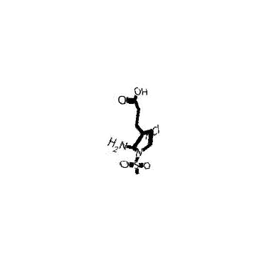 CS(=O)(=O)n1ccc(CCC(=O)O)c1N.Cl